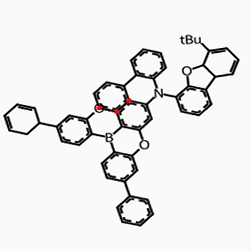 CC(C)(C)C1=CC=CC2c3cccc(N(c4cc5c6c(c4)Oc4cc(C7C=CC=CC7)ccc4B6c4ccc(-c6ccccc6)cc4O5)c4ccccc4-c4ccccc4)c3OC12